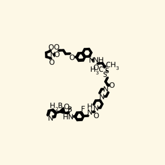 BC12OB=C(Nc3ccc(CNC(=O)N4CCC(N5CCN(C(=O)CCSSC(C)(C)CC(=O)N/N=C6\CCCc7cc(OCCCC(=O)ON8C(=O)CCC8=O)ccc76)CC5)CC4)c(F)c3)C1C2c1cccnc1